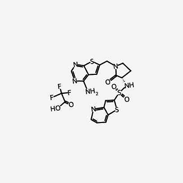 Nc1ncnc2sc(CN3CC[C@H](NS(=O)(=O)c4cc5ncccc5s4)C3=O)cc12.O=C(O)C(F)(F)F